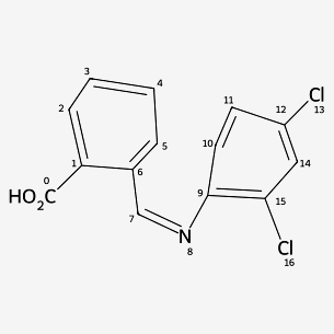 O=C(O)c1ccccc1/C=N\c1ccc(Cl)cc1Cl